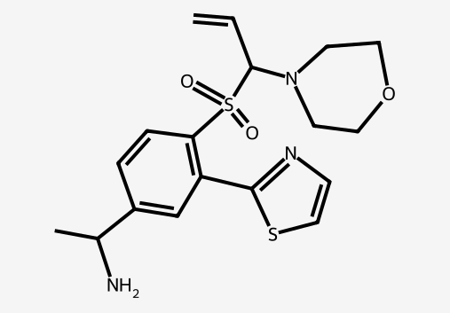 C=CC(N1CCOCC1)S(=O)(=O)c1ccc(C(C)N)cc1-c1nccs1